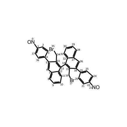 O=Nc1ccc(-c2cc3ccccc3c(-c3c(CBr)c(-c4ccc(N=O)cc4)cc4ccccc34)c2CBr)cc1